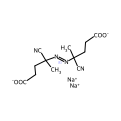 CC(C#N)(CCC(=O)[O-])/N=N/C(C)(C#N)CCC(=O)[O-].[Na+].[Na+]